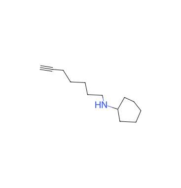 C#CCCCCCNC1CCCCC1